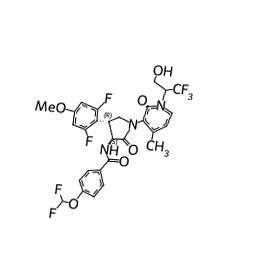 COc1cc(F)c([C@@H]2CN(c3c(C)ccn(C(CO)C(F)(F)F)c3=O)C(=O)[C@H]2NC(=O)c2ccc(OC(F)F)cc2)c(F)c1